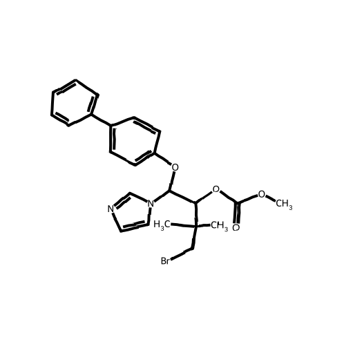 COC(=O)OC(C(Oc1ccc(-c2ccccc2)cc1)n1ccnc1)C(C)(C)CBr